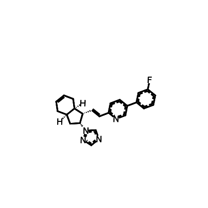 Fc1cccc(-c2ccc(C=C[C@H]3[C@@H]4CC=CC[C@@H]4C[C@H]3n3cncn3)nc2)c1